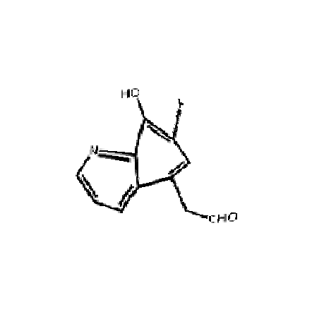 O=CCc1cc(F)c(O)c2ncccc12